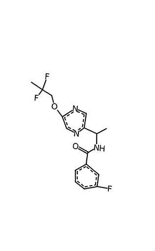 CC(NC(=O)c1cccc(F)c1)c1cnc(OCC(C)(F)F)cn1